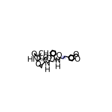 C[C@@H]1C(=O)NC(=O)[C@H]1C(=O)C(NC(=O)C[C@H](NC(=O)/C=C/c1ccc2c(c1)OCO2)c1ccccc1)C1CC1